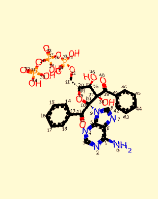 Nc1ncnc2c1ncn2[C@]1(C(=O)c2ccccc2)O[C@H](COP(=O)(O)OP(=O)(O)OP(=O)(O)O)[C@@H](O)[C@]1(O)C(=O)c1ccccc1